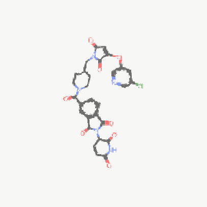 O=C1C=CC(N2C(=O)c3ccc(C(=O)N4CCC(CN5C(=O)C=C(Oc6cncc(Cl)c6)C5=O)CC4)cc3C2=O)C(=O)N1